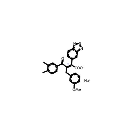 COc1cccc(C/C(C(=O)c2ccc(C)c(C)c2)=C(\C(=O)[O-])c2ccc3nsnc3c2)c1.[Na+]